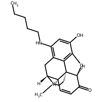 CCCCCNc1cc(O)c2c3c1C[C@@H]1[C@@H]4C=CC(=O)[C@H](O2)[C@]34CCN1C